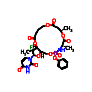 C[C@@H]1N[P@@](=O)(Oc2ccccc2)OC[C@H]2O[C@@H](n3ccc(=O)[nH]c3=O)[C@](C)(F)[C@@H]2OC(=O)CCCOC(=O)C[C@H](C)OC1=O